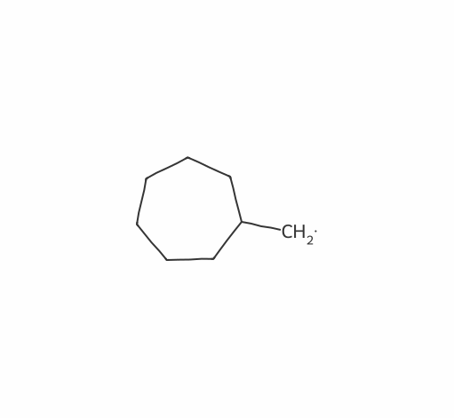 [CH2]C1CCCCCC1